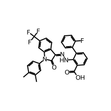 Cc1ccc(N2C(=O)C(=NNc3c(C(=O)O)cccc3-c3ccccc3F)c3ccc(C(F)(F)F)cc32)cc1C